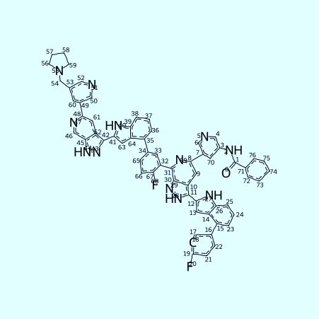 O=C(Nc1cncc(-c2cc3c(-c4cc5c(-c6ccc(F)cc6)cccc5[nH]4)n[nH]c3c(-c3cc(-c4cccc5[nH]c(-c6n[nH]c7cnc(-c8cncc(CN9CCCC9)c8)cc67)cc45)ccc3F)n2)c1)c1ccccc1